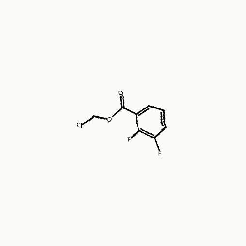 O=C(OCCl)c1cccc(F)c1F